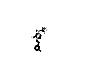 NC(=S)NN1C=CN(CCc2cccc(F)c2)C(Cl)=C1